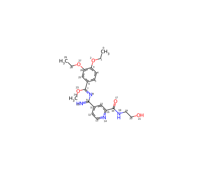 CCOc1ccc(/C(=N/C(=N)c2ccnc(C(=O)NCCO)c2)OC)cc1OCC